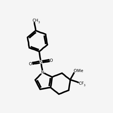 COC1(C(F)(F)F)CCc2ccn(S(=O)(=O)c3ccc(C)cc3)c2C1